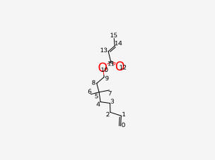 C=CCCCC(C)(C)CCOC(=O)/C=C/C